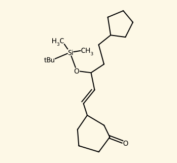 CC(C)(C)[Si](C)(C)OC(/C=C/C1CCCC(=O)C1)CCC1CCCC1